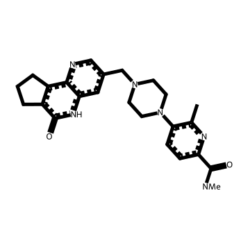 CNC(=O)c1ccc(N2CCN(Cc3cnc4c5c(c(=O)[nH]c4c3)CCC5)CC2)c(C)n1